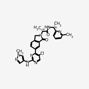 Cc1cccc([C@@H](C)NC(=O)[C@@H](C)N2Cc3ccc(-c4nc(Nc5cnn(C)c5)ncc4Cl)cc3C2=O)n1